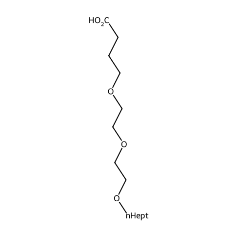 CCCCCCCOCCOCCOCCCC(=O)O